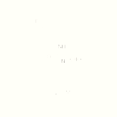 O=CN(C(=O)Nc1ccc(F)cc1)c1ccc2c(c1)OCO2